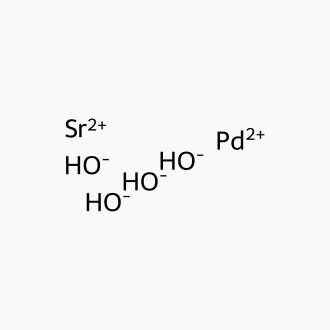 [OH-].[OH-].[OH-].[OH-].[Pd+2].[Sr+2]